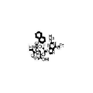 CCOc1nc(N)nc2c1ncn2[C@H](CF)O[C@](F)(COP(=O)(NC(C)C(=O)OC(C)C)Oc1cccc2ccccc12)[C@H](C)O